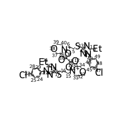 CCc1nc(SCC[N+]2(OC(=O)C(=O)O[N+]3(CCSc4nc(CC)n(-c5ccc(Cl)cc5)n4)CCOCC3)CCOCC2)nn1-c1ccc(Cl)cc1